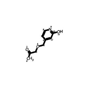 CC(=O)COCc1ccnc(O)c1